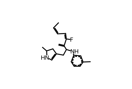 C=C(/C(F)=C\C=C/C)C(CC1=CNC(C)C1)Nc1cccc(C)c1